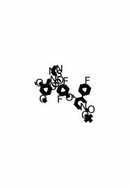 COc1ccc(CN(c2ncns2)S(=O)(=O)c2cc(F)c(OC[C@H]3CCN(C(=O)OC(C)(C)C)C[C@@H]3c3ccc(F)cc3)cc2F)c(OC)c1